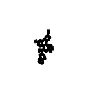 N#Cc1ccc(Cn2cnnc2CN(Cc2ccc(F)cc2F)C(=O)C2=Cc3ccccc3OC2)cc1